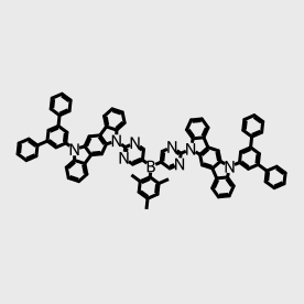 Cc1cc(C)c(B(c2cnc(-n3c4ccccc4c4cc5c(cc43)c3ccccc3n5-c3cc(-c4ccccc4)cc(-c4ccccc4)c3)nc2)c2cnc(-n3c4ccccc4c4cc5c(cc43)c3ccccc3n5-c3cc(-c4ccccc4)cc(-c4ccccc4)c3)nc2)c(C)c1